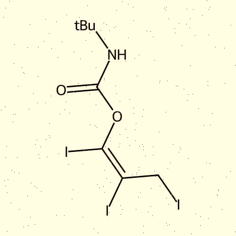 CC(C)(C)NC(=O)O/C(I)=C(/I)CI